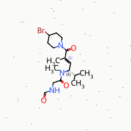 C/C(=C\[C@H](C(C)C)N(C)C(=O)CNC=O)C(=O)N1CCC(Br)CC1